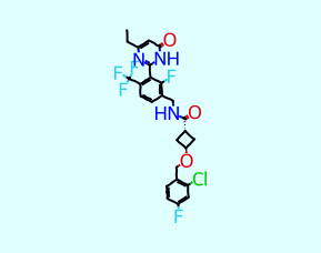 CCc1cc(=O)[nH]c(-c2c(C(F)(F)F)ccc(CNC(=O)[C@H]3C[C@H](OCc4ccc(F)cc4Cl)C3)c2F)n1